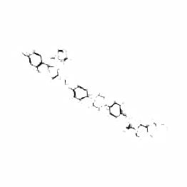 CCN(CC(OC)OC)C(=S)Nc1ccc(N2CCN(c3ccc(OC[C@@H]4CO[C@@](Cn5cncn5)(c5ccc(Cl)cc5Cl)O4)cc3)CC2)cc1